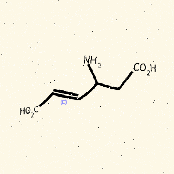 NC(/C=C/C(=O)O)CC(=O)O